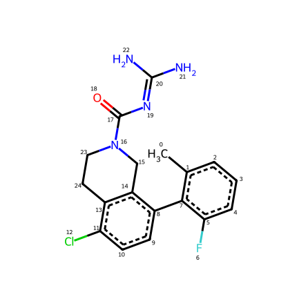 Cc1cccc(F)c1-c1ccc(Cl)c2c1CN(C(=O)N=C(N)N)CC2